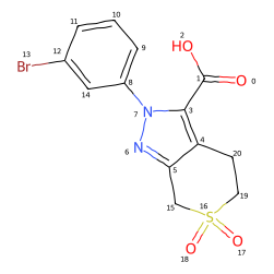 O=C(O)c1c2c(nn1-c1cccc(Br)c1)CS(=O)(=O)CC2